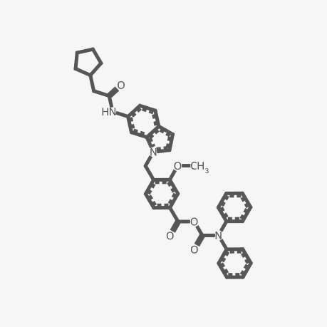 COc1cc(C(=O)OC(=O)N(c2ccccc2)c2ccccc2)ccc1Cn1ccc2ccc(NC(=O)CC3CCCC3)cc21